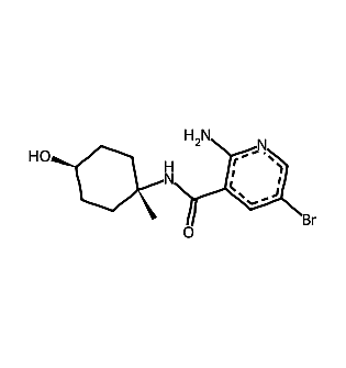 C[C@]1(NC(=O)c2cc(Br)cnc2N)CC[C@H](O)CC1